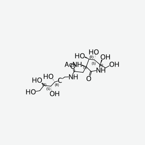 CC(=O)N[C@]1(CC(=O)NCC[C@@H](O)[C@H](O)[C@H](O)CO)C(=O)N[C@@](O)(CO)[C@@H](O)[C@@H]1O